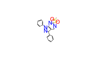 CS(=O)(=O)c1ncc2c(-c3ccccc3)nn(-c3ccccc3)c2n1